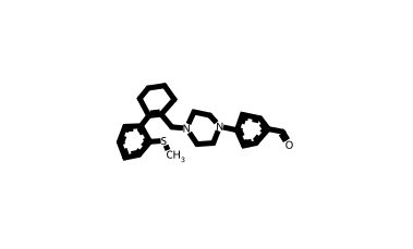 CSc1ccccc1C1=C(CN2CCN(c3ccc([C]=O)cc3)CC2)CCCC1